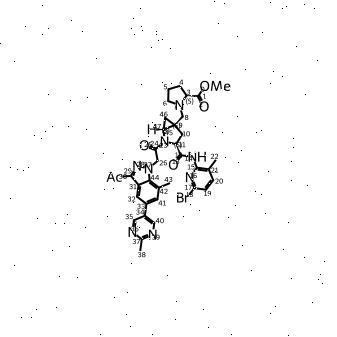 COC(=O)[C@@H]1CCCN1C[C@@]12C[C@@H](C(=O)Nc3nc(Br)ccc3C)N(C(=O)Cn3nc(C(C)=O)c4cc(-c5cnc(C)nc5)cc(C)c43)[C@@H]1C2